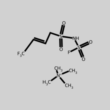 C[N+](C)(C)C.O=S(=O)(F)NS(=O)(=O)CC=CC(F)(F)F